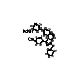 [C-]#[N+]c1ccc(-c2nn(Cc3ccccc3)c3cnc4ccc(-c5cncc(NC(C)=O)c5)cc4c23)cc1